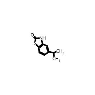 CC(C)c1ccc2sc(=O)[nH]c2c1